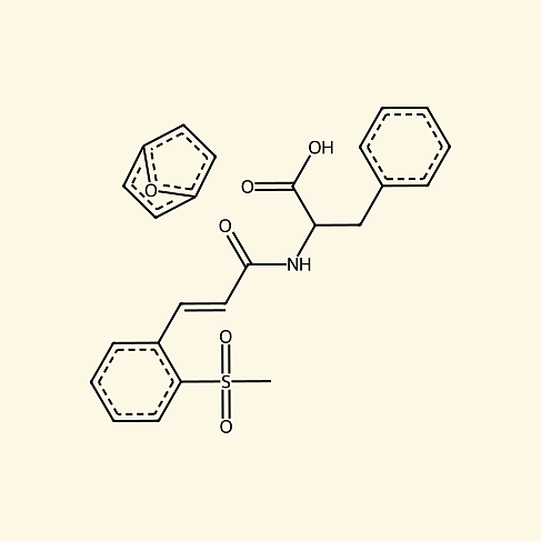 CS(=O)(=O)c1ccccc1C=CC(=O)NC(Cc1ccccc1)C(=O)O.c1cc2ccc1o2